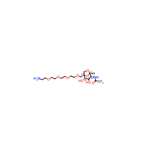 NCCOCCOCCOCCOC[C@@]12CO[C@@H](O1)[C@@H](NC(=O)C(F)(F)F)[C@@H](O)[C@H]2O